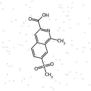 Cc1nc(C(=O)O)cc2ccc(S(C)(=O)=O)cc12